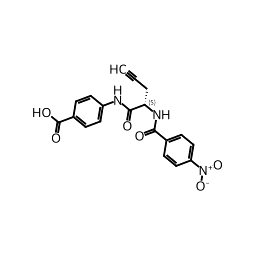 C#CC[C@H](NC(=O)c1ccc([N+](=O)[O-])cc1)C(=O)Nc1ccc(C(=O)O)cc1